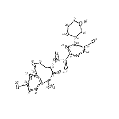 CN1C(=O)[C@@H](NC(=O)c2ncc(Cl)c([C@H]3COCCO3)n2)COc2cc(Cl)cnc21